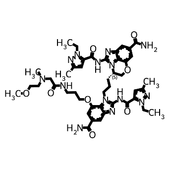 CCn1nc(C)cc1C(=O)Nc1nc2cc(C(N)=O)cc(OCCCNC(=O)CN(C)CCOC)c2n1CCC[C@H]1COc2cc(C(N)=O)cc3nc(NC(=O)c4cc(C)nn4CC)n1c23